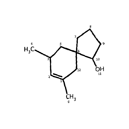 CC1=CC(C)CC2(CCCC2O)C1